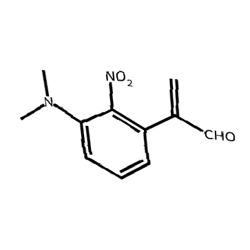 C=C(C=O)c1cccc(N(C)C)c1[N+](=O)[O-]